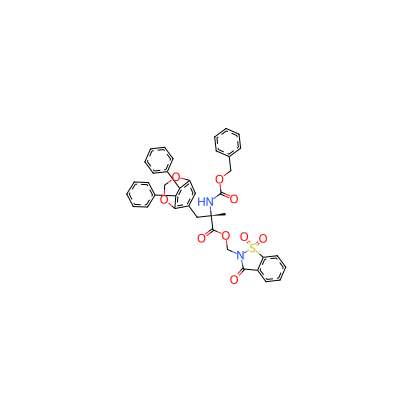 C[C@@](Cc1cc2c(-c3ccccc3)c(-c3ccccc3)c1OCO2)(NC(=O)OCc1ccccc1)C(=O)OCN1C(=O)c2ccccc2S1(=O)=O